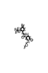 CCOCCn1cc(C(=O)NCc2ccc(Br)cc2OC(F)(F)F)ccc1=O